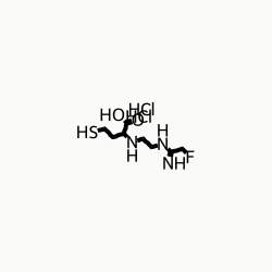 Cl.Cl.N=C(CF)NCCNC(CCS)C(=O)O